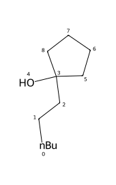 CCCCCCC1(O)CCCC1